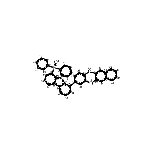 O=P(c1ccccc1)(c1ccccc1)c1cccc2c1oc1c(-c3ccc4c(c3)Oc3cc5ccccc5cc3O4)cccc12